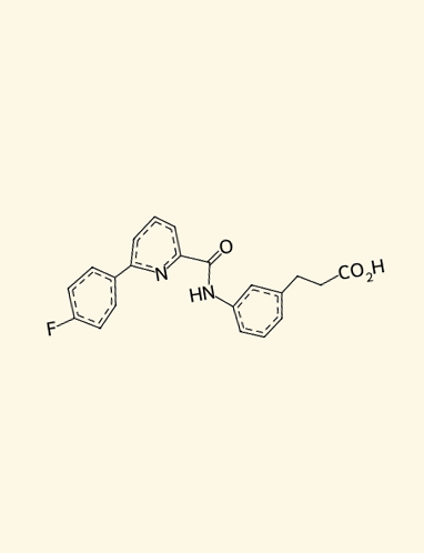 O=C(O)CCc1cccc(NC(=O)c2cccc(-c3ccc(F)cc3)n2)c1